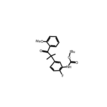 COc1ccccc1C(=O)C(C)(C)c1ccc(F)c(NC(=O)OC(C)(C)C)c1